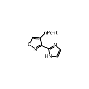 CCCCCc1conc1-c1ncc[nH]1